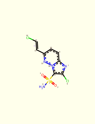 NS(=O)(=O)c1c(Cl)nc2ccc(/C=C/Cl)nn12